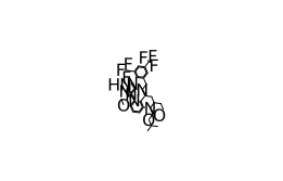 CCC1CC(N(Cc2cc(C(F)(F)F)cc(C(F)(F)F)c2)c2nn[nH]n2)c2nc(OC)ccc2N1C(=O)OC(C)C